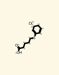 O=C(O)CCCCSC1=C[C@H](Cl)CC=C1